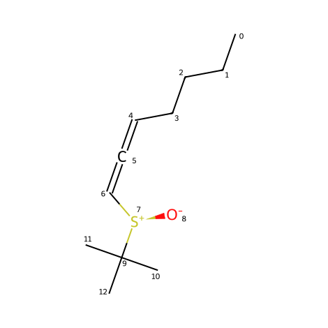 CCCCC=C=C[S@@+]([O-])C(C)(C)C